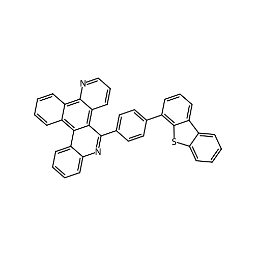 c1ccc2c(c1)nc(-c1ccc(-c3cccc4c3sc3ccccc34)cc1)c1c3cccnc3c3ccccc3c21